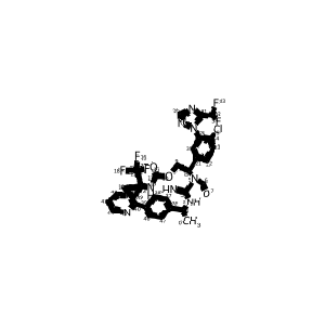 CC(NC(=N)N(C=O)C(COC(=O)NC1(C(F)(F)F)CC1)c1ccc(Cl)c(-n2ncnc2C(F)F)c1)c1ccc(-c2ncccn2)cc1